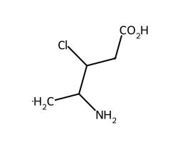 [CH2]C(N)C(Cl)CC(=O)O